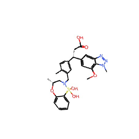 COc1cc([C@@H](CC(=O)O)c2ccc(C)c(CN3C[C@@H](C)Oc4ccccc4S3(O)O)c2)cc2nnn(C)c12